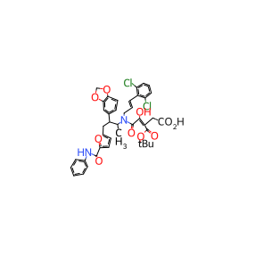 CC(C(Cc1ccc(C(=O)Nc2ccccc2)o1)c1ccc2c(c1)OCO2)N(CC=Cc1c(Cl)cccc1Cl)C(=O)C(O)=C(CC(=O)O)C(=O)OC(C)(C)C